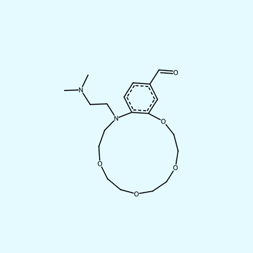 CN(C)CCN1CCOCCOCCOCCOc2cc(C=O)ccc21